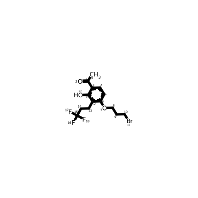 CC(=O)c1ccc(OCCCBr)c(CCC(F)(F)F)c1O